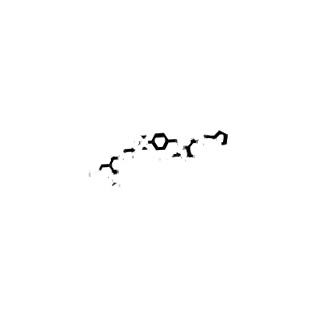 CCCCc1nc(Cl)c(C(=O)NCc2cccs2)n1Cc1ccc(S(=O)(=O)NC(=O)CNC(=O)C(CC(C)C)C(=O)NO)cc1